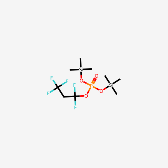 C[Si](C)(C)OP(=O)(OC(F)(F)CC(F)(F)F)O[Si](C)(C)C